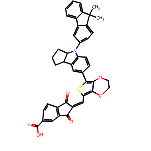 CC1(C)c2ccccc2-c2cc(N3c4ccc(-c5sc(/C=C6\C(=O)c7ccc(C(=O)O)cc7C6=O)c6c5OCCO6)cc4C4CCCC43)ccc21